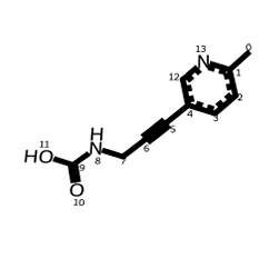 Cc1ccc(C#CCNC(=O)O)cn1